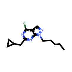 CCCCCn1ncc2c(Cl)nc(CC3CC3)nc21